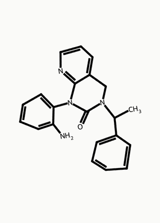 CC(c1ccccc1)N1Cc2cccnc2N(c2ccccc2N)C1=O